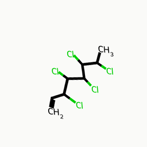 C=CC(Cl)C(Cl)C(Cl)C(Cl)C(C)Cl